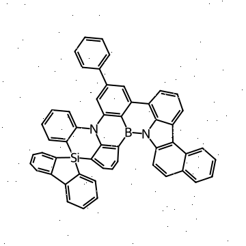 c1ccc(-c2cc3c4c(c2)N2c5ccccc5[Si]5(c6ccccc6-c6ccccc65)c5cccc(c52)B4n2c4ccc5ccccc5c4c4cccc-3c42)cc1